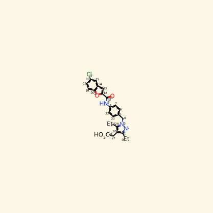 CCc1nn(Cc2ccc(NC(=O)c3cc4cc(Cl)ccc4o3)cc2)c(CC)c1CC(=O)O